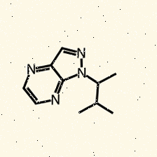 CC(C)C(C)n1ncc2nccnc21